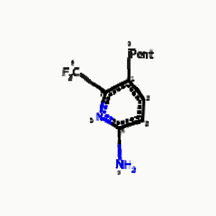 CCCC(C)c1ccc(N)nc1C(F)(F)F